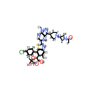 CC(=O)N1CC(N2CCC(c3nn(C)c4ncc(-c5nc6cc(C)c([C@H](OC(C)(C)C)C(=O)O)c(-c7ccc(Cl)cc7)c6s5)nc34)CC2)C1